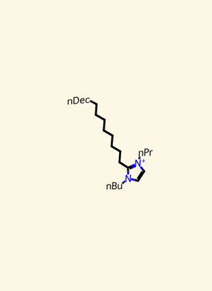 CCCCCCCCCCCCCCCCCCc1n(CCCC)cc[n+]1CCC